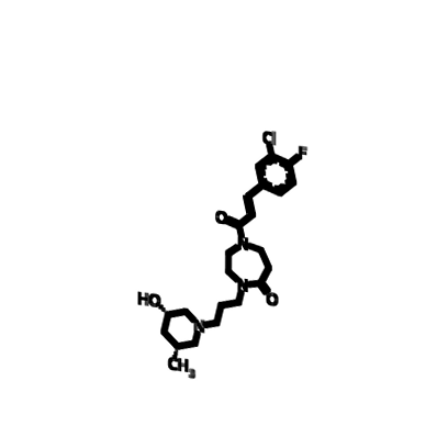 C[C@@H]1C[C@H](O)CN(CCCN2CCN(C(=O)C=Cc3ccc(F)c(Cl)c3)CCC2=O)C1